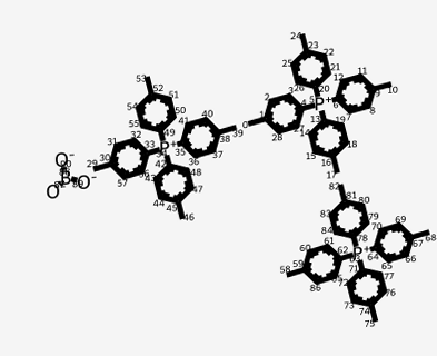 Cc1ccc([P+](c2ccc(C)cc2)(c2ccc(C)cc2)c2ccc(C)cc2)cc1.Cc1ccc([P+](c2ccc(C)cc2)(c2ccc(C)cc2)c2ccc(C)cc2)cc1.Cc1ccc([P+](c2ccc(C)cc2)(c2ccc(C)cc2)c2ccc(C)cc2)cc1.[O-]B([O-])[O-]